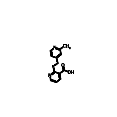 Cc1cc(CSc2ncccc2C(=O)O)ccn1